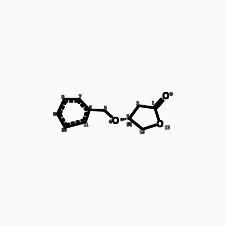 O=C1C[C@@H](OCc2ccccc2)CO1